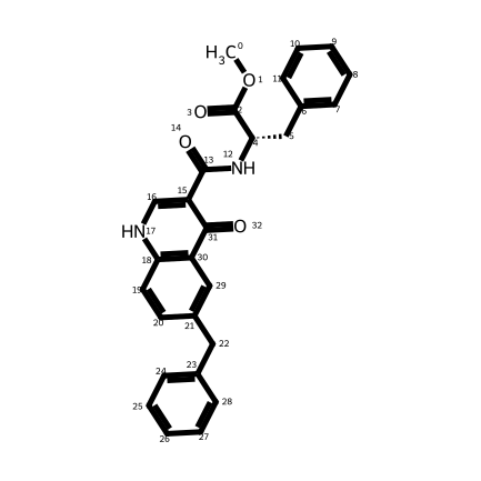 COC(=O)[C@H](Cc1ccccc1)NC(=O)c1c[nH]c2ccc(Cc3ccccc3)cc2c1=O